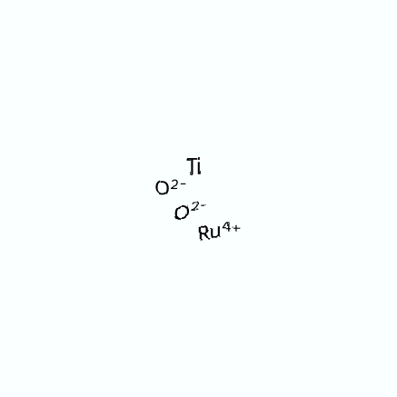 [O-2].[O-2].[Ru+4].[Ti]